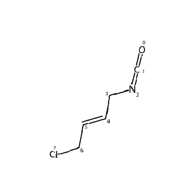 O=C=NCC=CCCl